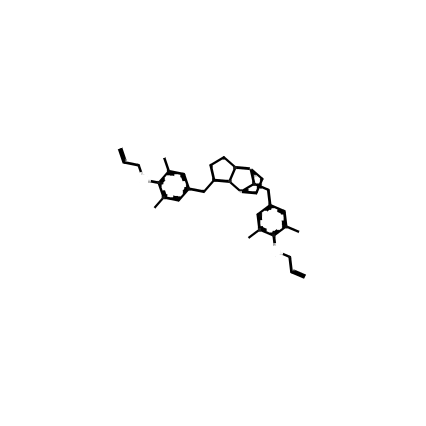 C=CCOc1c(C)cc(CC2CCC3C4CCC(C4Cc4cc(C)c(OCC=C)c(C)c4)C23)cc1C